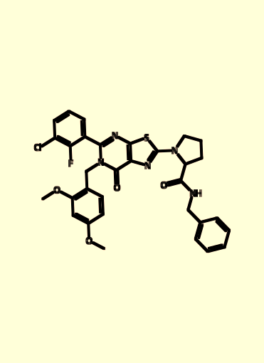 COc1ccc(Cn2c(-c3cccc(Cl)c3F)nc3sc(N4CCCC4C(=O)NCc4ccccc4)nc3c2=O)c(OC)c1